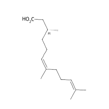 CC(C)=CCCC(C)=CCC[C@@H](C)CC(=O)O